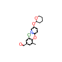 Cc1cc(C=O)cc(Cl)c1Oc1ccc(OC2CCCCO2)cn1